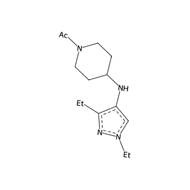 CCc1nn(CC)cc1NC1CCN(C(C)=O)CC1